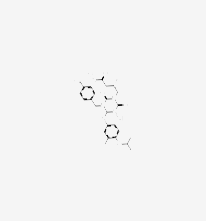 Cc1cc(NC2N(N)C(=O)N(C[C@H](C)CC(=O)N=O)C(=O)N2Cc2ccc(Cl)cc2)ccc1OC(C)C